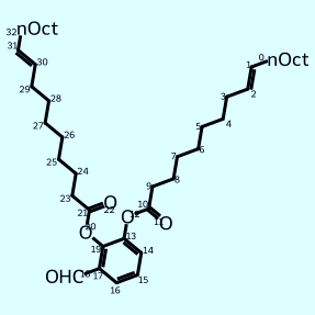 CCCCCCCCC=CCCCCCCCC(=O)Oc1cccc(C=O)c1OC(=O)CCCCCCCC=CCCCCCCCC